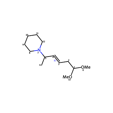 COC(C/C=C/C(C)N1CCCCC1)OC